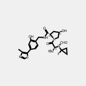 Cc1ncsc1-c1ccc(CNC(=O)[C@@H]2C[C@@H](O)CN2C(=O)[C@@H](N(C=O)C2(F)CC2)C(C)(C)C)c(O)c1